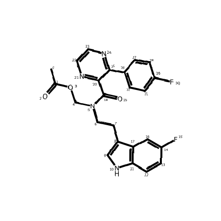 CC(=O)OCN(CCc1c[nH]c2ccc(F)cc12)C(=O)c1nccnc1-c1ccc(F)cc1